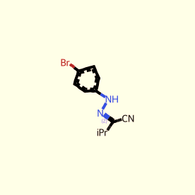 CC(C)/C(C#N)=N/Nc1ccc(Br)cc1